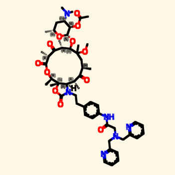 COC1(C)C[C@@H](C)C(=O)[C@H](C)[C@H]2N(CCc3ccc(NC(=O)CN(Cc4ccccn4)Cc4ccccn4)cc3)C(=O)O[C@]2(C)[C@@H](C)OC(=O)[C@H](C)C(=O)[C@H](C)[C@H]1O[C@@H]1O[C@H](C)C[C@H](N(C)C)[C@H]1OC(C)=O